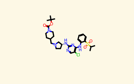 CC(C)S(=O)(=O)c1ccccc1Nc1nc(N[C@@H]2CCN(CC3CCN(C(=O)OC(C)(C)C)CC3)C2)ncc1Cl